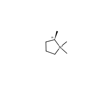 C[C@@H]1CCC[N+]1(C)C